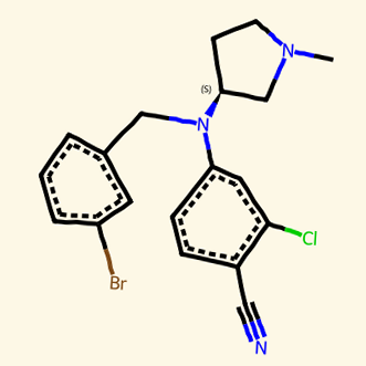 CN1CC[C@H](N(Cc2cccc(Br)c2)c2ccc(C#N)c(Cl)c2)C1